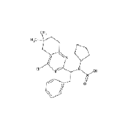 CC1(C)CCc2nc(C(Cc3ccccc3)N(C(=O)O)C3CCCC3)nc(Cl)c2C1